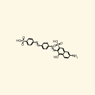 Nc1ccc2c(O)c(/N=N/c3ccc(/N=N/c4ccc(S(=O)(=O)O)cc4)cc3)c(S(=O)(=O)O)cc2c1